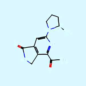 CC(=O)c1nc(N2CCC[C@H]2C)cc2c1CNC2=O